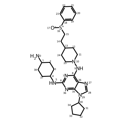 NC1CCC(Nc2nc(NN3CCC(CC[S+]([O-])c4ccccc4)CC3)c3ncn(C4CCCC4)c3n2)CC1